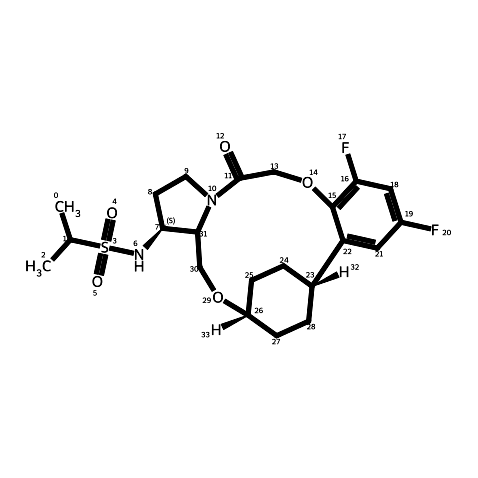 CC(C)S(=O)(=O)N[C@H]1CCN2C(=O)COc3c(F)cc(F)cc3[C@H]3CC[C@H](CC3)OCC12